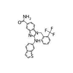 NC(=O)c1ccc2c(c1)nc(Nc1ccc3ccsc3c1)n2Cc1ccccc1C(F)(F)F